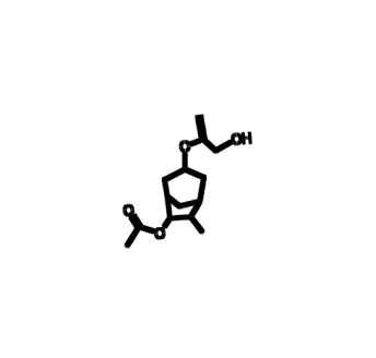 C=C(CO)OC1CC2CC(C1)C(OC(C)=O)C2C